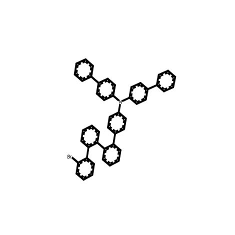 Brc1ccccc1-c1ccccc1-c1ccccc1-c1ccc(N(c2ccc(-c3ccccc3)cc2)c2ccc(-c3ccccc3)cc2)cc1